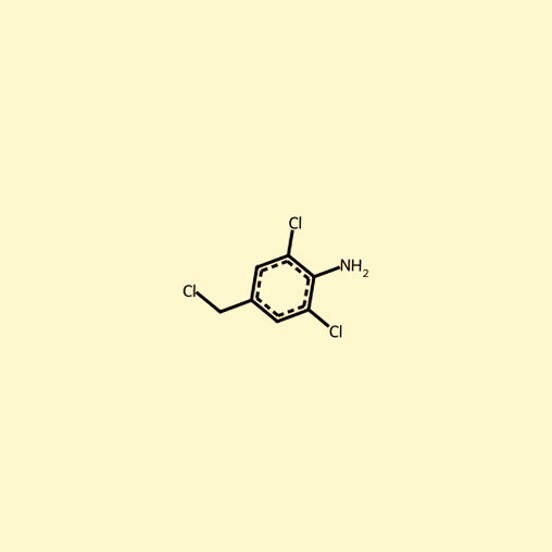 Nc1c(Cl)cc(CCl)cc1Cl